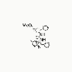 COCCN1CC(NC(=O)Nc2c(-c3ccccc3)nc3ccc(C)cn23)C(c2ccccc2)C1